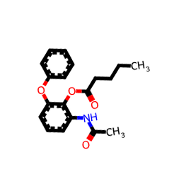 CCCCC(=O)Oc1c(NC(C)=O)cccc1Oc1ccccc1